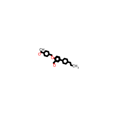 CCCC1CCC(c2ccc(OCC3CCC(C(C)=O)CC3)c(C=O)c2)CC1